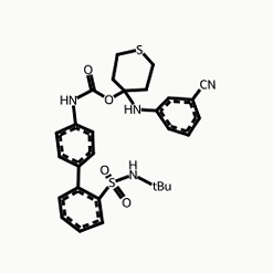 CC(C)(C)NS(=O)(=O)c1ccccc1-c1ccc(NC(=O)OC2(Nc3cccc(C#N)c3)CCSCC2)cc1